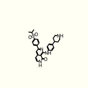 CC(C)S(=O)(=O)c1ccc(-c2cc3cc[nH]c(=O)c3c(Nc3ccc(C4CCNCC4)cc3)n2)cc1